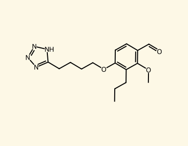 CCCc1c(OCCCCc2nnn[nH]2)ccc(C=O)c1OC